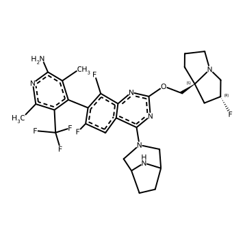 Cc1nc(N)c(C)c(-c2c(F)cc3c(N4CC5CCC(C4)N5)nc(OC[C@@]45CCCN4C[C@H](F)C5)nc3c2F)c1C(F)(F)F